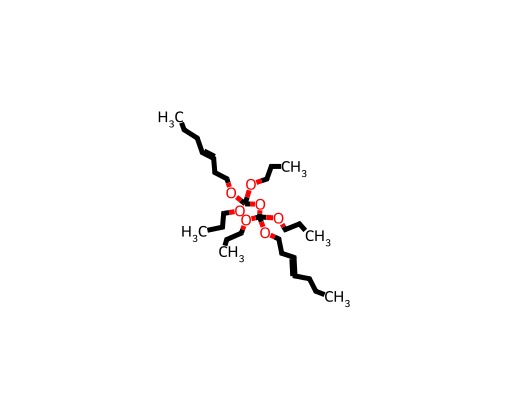 CCCC=CCCOC(OCCC)(OCCC)OC(OCCC)(OCCC)OCCC=CCCC